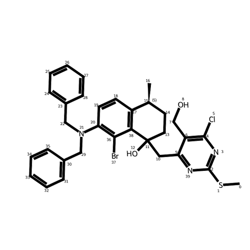 CSc1nc(Cl)c(CO)c(CC2(O)CC[C@H](C)c3ccc(N(Cc4ccccc4)Cc4ccccc4)c(Br)c32)n1